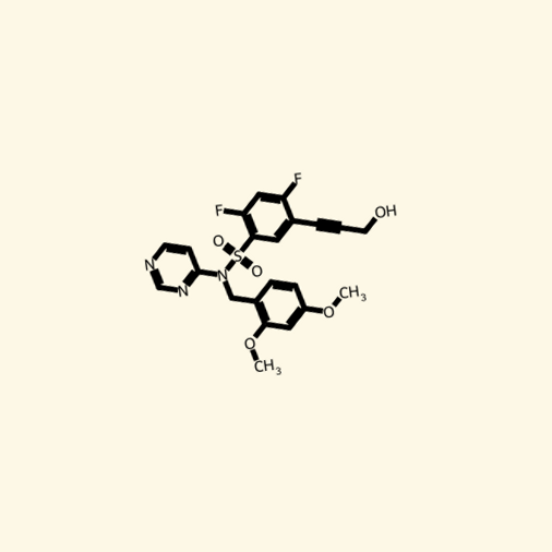 COc1ccc(CN(c2ccncn2)S(=O)(=O)c2cc(C#CCO)c(F)cc2F)c(OC)c1